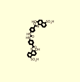 O=C(Nc1ccc(C(=O)N=C2C(O)=CC=C3C2=CC=CC3S(=O)(=O)O)cc1)Nc1ccc(C(=O)N=C2C(O)=CC=C3C2=CC=CC3S(=O)(=O)O)cc1